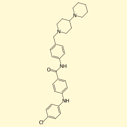 O=C(Nc1ccc(CN2CCC(N3CCCCC3)CC2)cc1)c1ccc(Nc2ccc(Cl)cc2)cc1